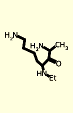 CCNC(CCCCN)C(=O)C(C)N